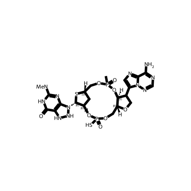 CNc1nc2c(c(=O)[nH]1)NNN2[C@@H]1S[C@@H]2COP(C)(=O)O[C@H]3C(c4cnc5c(N)ncnn45)CO[C@@H]3COP(=O)(S)O[C@@H]1C2